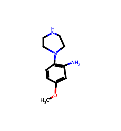 COc1ccc(N2CCNCC2)c(N)c1